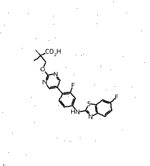 CC(C)(COc1ncc(-c2ccc(Nc3nc4ccc(F)cc4s3)cc2F)cn1)C(=O)O